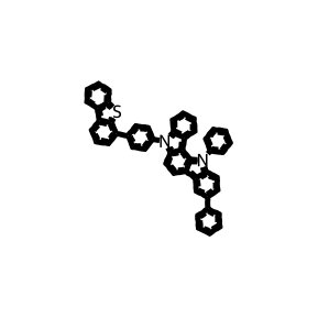 c1ccc(-c2ccc3c(c2)c2ccc4c(c5ccccc5n4-c4ccc(-c5cccc6c5sc5ccccc56)cc4)c2n3-c2ccccc2)cc1